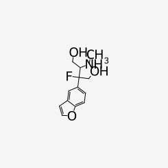 CNC(CO)C(F)(CO)c1ccc2occc2c1